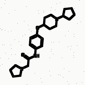 O=C(CN1CCCC1)Nc1ccc(OC2CCN(C3CCCC3)CC2)cc1